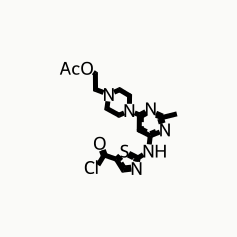 CC(=O)OCCN1CCN(c2cc(Nc3ncc(C(=O)Cl)s3)nc(C)n2)CC1